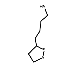 SCCCCC1CCSS1